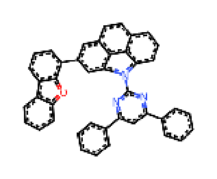 c1ccc(-c2cc(-c3ccccc3)nc(-n3c4cccc5ccc6cc(-c7cccc8c7oc7ccccc78)cc3c6c54)n2)cc1